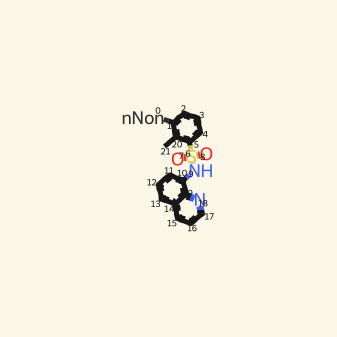 CCCCCCCCCc1cccc(S(=O)(=O)Nc2cccc3cccnc23)c1C